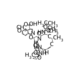 CC[C@@H]1C[C@H](C)CCC=C[C@@H]2C[C@@]2(C(=O)NS(=O)(=O)C2(C)CC2)NC(=O)[C@@H]2C[C@@H](Oc3ncc(C(=O)O)c4cc(OC)ccc34)CN2C(=O)[C@H]1NC(=O)OC(C)(C)C